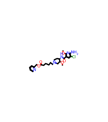 COc1nc(N)c(Cl)cc1C(=O)N[C@@H]1CCN(CCCCCC(=O)OCc2ccccn2)C[C@@H]1OC